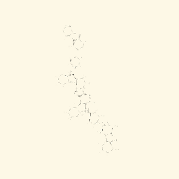 c1ccc2c(c1)sc1ccc(-c3ccc(-n4c5ccccc5c5c6sc7c(ccc8c7c7ccccc7n8-c7ccc(-c8ccc9sc%10ccccc%10c9c8)cc7)c6ccc54)cc3)cc12